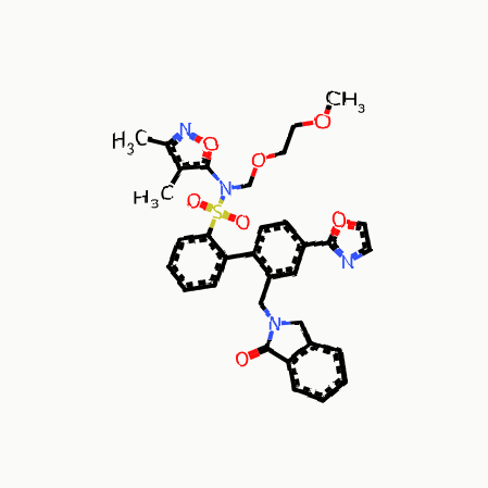 COCCOCN(c1onc(C)c1C)S(=O)(=O)c1ccccc1-c1ccc(-c2ncco2)cc1CN1Cc2ccccc2C1=O